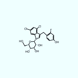 OC[C@H]1O[C@@H](n2cc(Cc3ccc(O)cc3F)c3c(Cl)cc(Cl)cc32)[C@H](O)[C@@H](O)[C@@H]1O